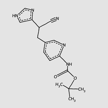 CC(C)(C)OC(=O)Nc1ccc(CC(C#N)c2c[nH]cn2)cn1